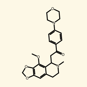 COc1c2c(cc3c1C(CC(=O)c1ccc(N4CCOCC4)cc1)N(C)CC3)OCO2